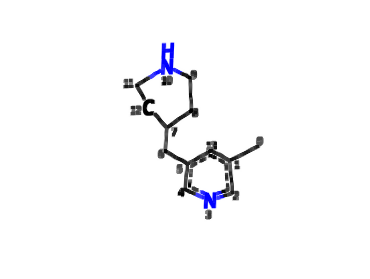 Cc1cncc(CC2CCNCC2)c1